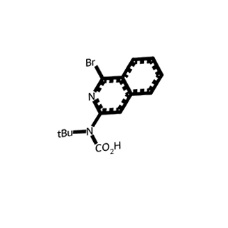 CC(C)(C)N(C(=O)O)c1cc2ccccc2c(Br)n1